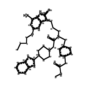 CCCCOc1nc(N)c2[nH]c(=O)n(CCCN(Cc3ccc(CC(=O)OC)cc3)C(=O)CN3CCN(c4nc5ccccc5s4)CC3)c2n1